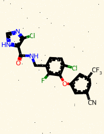 N#Cc1cc(Oc2c(Cl)ccc(CNC(=O)c3[nH]cnc3Cl)c2F)cc(C(F)(F)F)c1